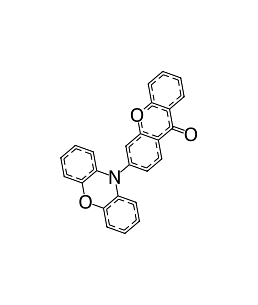 O=c1c2ccccc2oc2cc(N3c4ccccc4Oc4ccccc43)ccc12